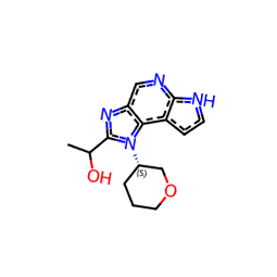 CC(O)c1nc2cnc3[nH]ccc3c2n1[C@H]1CCCOC1